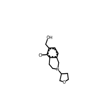 OCc1ccc2c(c1Cl)CCN(C1CCOC1)C2